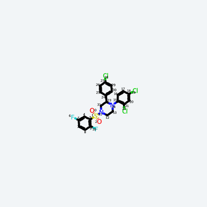 O=S(=O)(c1cc(F)ccc1F)N1CCN(c2ccc(Cl)cc2Cl)C(c2ccc(Cl)cc2)C1